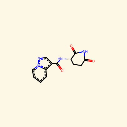 O=C1CC[C@H](NC(=O)c2cnn3ccccc23)C(=O)N1